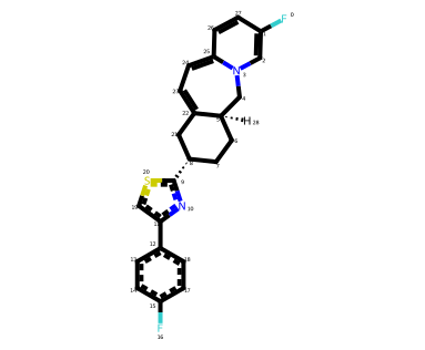 FC1=CN2C[C@H]3CC[C@H](c4nc(-c5ccc(F)cc5)cs4)CC3=CC=C2C=C1